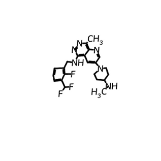 CNC1CCN(c2cnc3c(C)nnc(NCc4cccc(C(F)F)c4F)c3c2)CC1